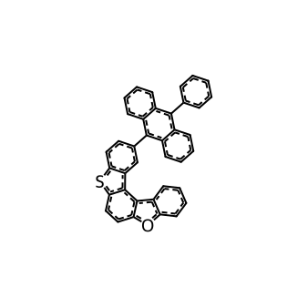 c1ccc(-c2c3ccccc3c(-c3ccc4sc5ccc6oc7ccccc7c6c5c4c3)c3ccccc23)cc1